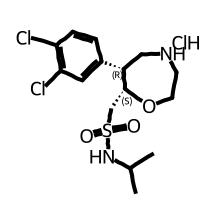 CC(C)NS(=O)(=O)C[C@H]1OCCNC[C@H]1c1ccc(Cl)c(Cl)c1.Cl